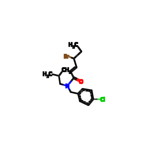 CCC(Br)C=CC(=O)N(Cc1ccc(Cl)cc1)CC(C)C